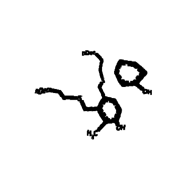 CCCCCCCCCCCCSCc1ccc(O)c(C)c1CSCCCCCCCCCCCC.Oc1ccccc1